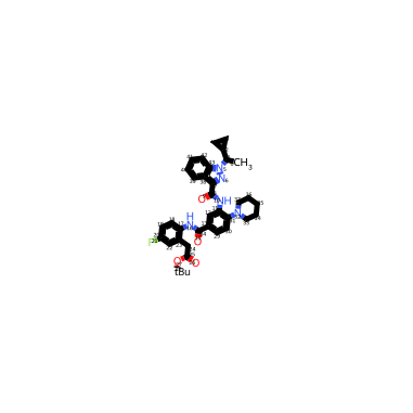 CC(C1CC1)n1nc(C(=O)Nc2cc(C(=O)Nc3ccc(F)cc3CC(=O)OC(C)(C)C)ccc2N2CCCCC2)c2ccccc21